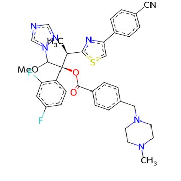 COC(n1cncn1)[C@@](OC(=O)c1ccc(CN2CCN(C)CC2)cc1)(c1ccc(F)cc1F)[C@@H](C)c1nc(-c2ccc(C#N)cc2)cs1